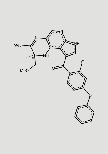 COC[C@]1(C)Nc2c(cnc3[nH]cc(C(=O)c4ccc(Oc5ccccc5)cc4Cl)c23)N=C1SC